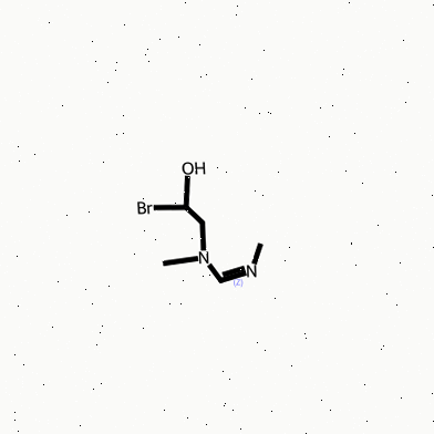 C/N=C\N(C)CC(O)Br